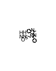 CNC(=O)NSCCn1c(-c2ccccc2)nc2c(C)nc3ccccc3c21